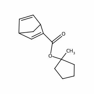 CC1(OC(=O)C2=CC3C=CC2C3)CCCC1